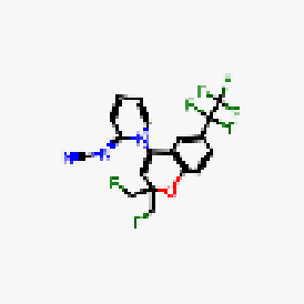 N#CN=c1ccccn1C1=CC(CF)(CF)Oc2ccc(C(F)(F)C(F)(F)F)cc21